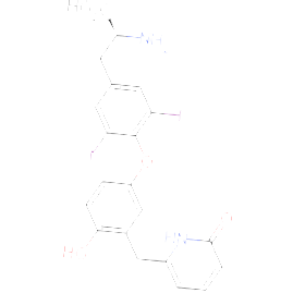 N[C@@H](Cc1cc(I)c(Oc2ccc(O)c(Cc3cccc(=O)[nH]3)c2)c(I)c1)C(=O)O